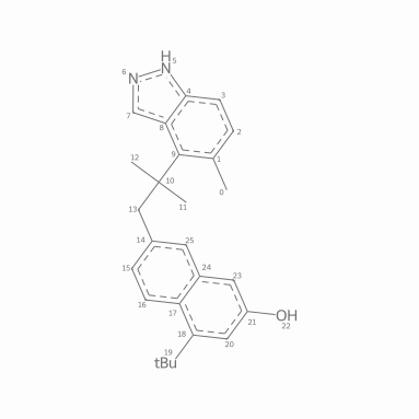 Cc1ccc2[nH]ncc2c1C(C)(C)Cc1ccc2c(C(C)(C)C)cc(O)cc2c1